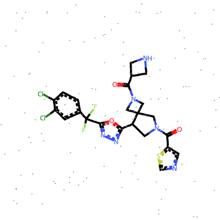 O=C(c1cncs1)N1CC(c2nnc(C(F)(F)c3ccc(Cl)c(Cl)c3)o2)C2(C1)CN(C(=O)C1CNC1)C2